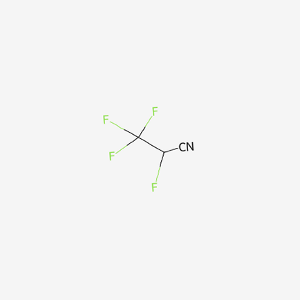 N#CC(F)C(F)(F)F